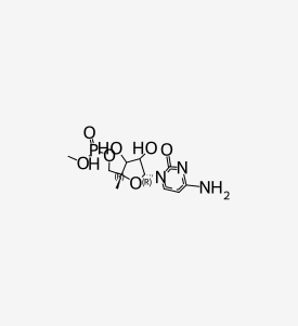 CO[PH](=O)OC[C@@]1(C)O[C@@H](n2ccc(N)nc2=O)C(O)C1O